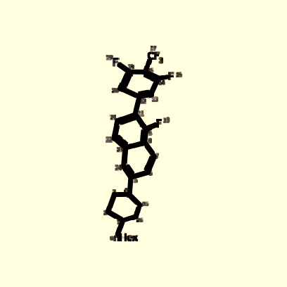 CCCCCCC1CCC(c2ccc3c(F)c(-c4cc(F)c(C(F)(F)F)c(F)c4)ccc3c2)CC1